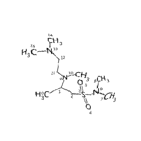 CC(CS(=O)(=O)N(C)C)N(C)CCN(C)C